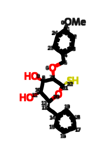 COc1ccc(CO[C@@H]2[C@H](O)[C@H](O)[C@@H](Cc3ccccc3)O[C@H]2S)cc1